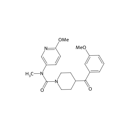 COc1cccc(C(=O)C2CCN(C(=O)N(C)c3ccc(OC)nc3)CC2)c1